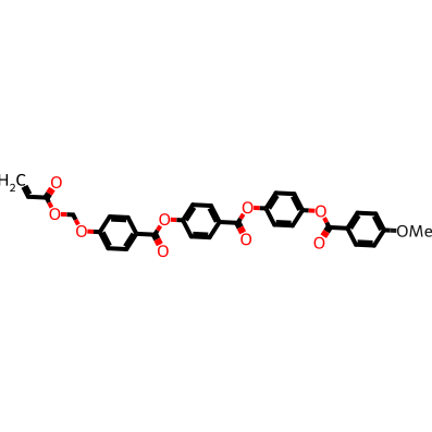 C=CC(=O)OCOc1ccc(C(=O)Oc2ccc(C(=O)Oc3ccc(OC(=O)c4ccc(OC)cc4)cc3)cc2)cc1